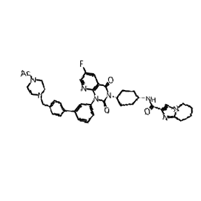 CC(=O)N1CCN(Cc2ccc(-c3cccc(-n4c(=O)n([C@H]5CC[C@@H](NC(=O)c6cn7c(n6)CCCC7)CC5)c(=O)c5cc(F)cnc54)c3)cc2)CC1